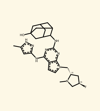 Cc1cc(Nc2nc(NC3C4CC5CC3CC(O)(C5)C4)nc3c2ccn3C[C@@H]2C[C@@H](F)CN2C)n[nH]1